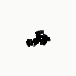 C=C(/C=N\C(=C\c1c(CC(C)(C)CO)c2cc(B3OC(C)(C)C(C)(C)O3)c(F)cc2n1CC(F)(F)F)[C@H](C)OC)N1CCOCC1